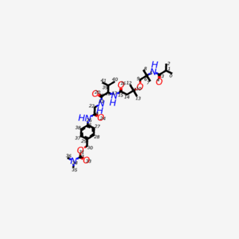 CC(C)C(=O)NC(C)(C)COC(C)(C)CC(=O)NC(C(=O)NCC(=O)Nc1ccc(COC(=O)N(C)C)cc1)C(C)C